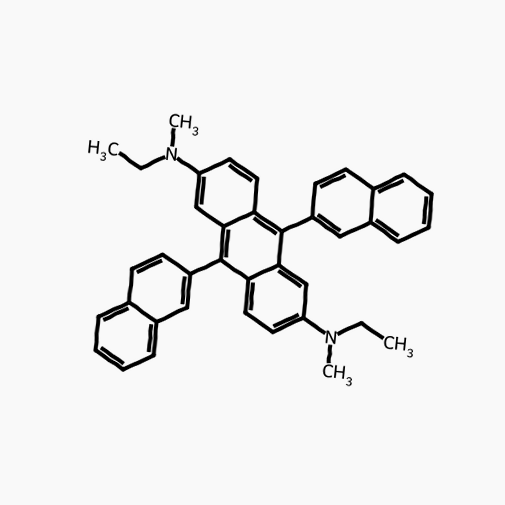 CCN(C)c1ccc2c(-c3ccc4ccccc4c3)c3cc(N(C)CC)ccc3c(-c3ccc4ccccc4c3)c2c1